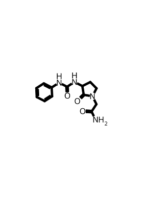 NC(=O)CN1CCC(NC(=O)Nc2ccccc2)C1=O